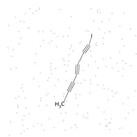 CC#CC#CC#CI